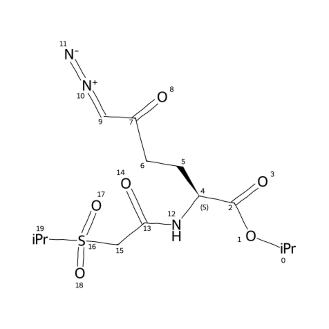 CC(C)OC(=O)[C@H](CCC(=O)C=[N+]=[N-])NC(=O)CS(=O)(=O)C(C)C